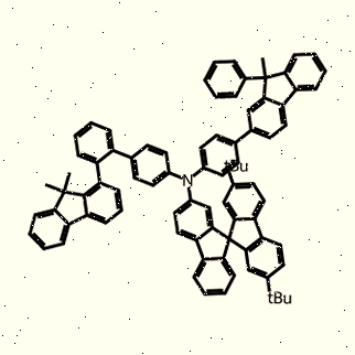 CC(C)(C)c1ccc2c(c1)C1(c3ccccc3-c3ccc(N(c4ccc(-c5ccc6c(c5)C(C)(c5ccccc5)c5ccccc5-6)cc4)c4ccc(-c5ccccc5-c5cccc6c5C(C)(C)c5ccccc5-6)cc4)cc31)c1cc(C(C)(C)C)ccc1-2